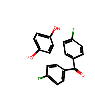 O=C(c1ccc(F)cc1)c1ccc(F)cc1.Oc1ccc(O)cc1